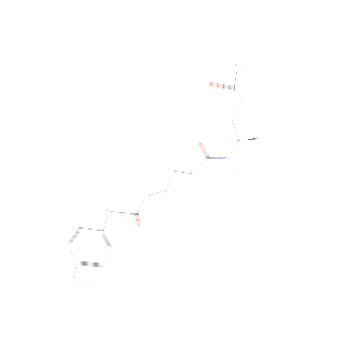 COc1ccc(NC(=O)CCCCC(=O)N(O)[C@@H](CCC(N)=O)C(=O)O)cc1